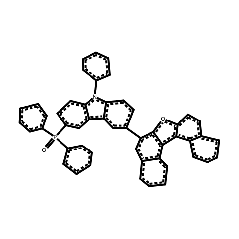 O=P(c1ccccc1)(c1ccccc1)c1ccc2c(c1)c1cc(-c3cc4ccccc4c4c3oc3ccc5ccccc5c34)ccc1n2-c1ccccc1